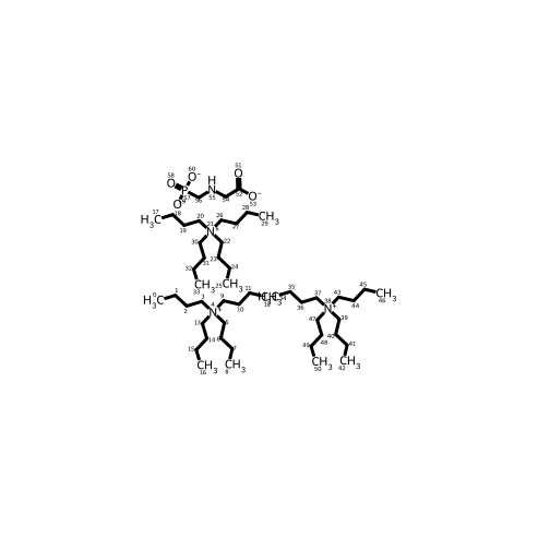 CCCC[N+](CCCC)(CCCC)CCCC.CCCC[N+](CCCC)(CCCC)CCCC.CCCC[N+](CCCC)(CCCC)CCCC.O=C([O-])CNCP(=O)([O-])[O-]